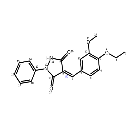 CCOc1ccc(/C=C2\C(=O)NN(c3ccccc3)C2=O)cc1OC